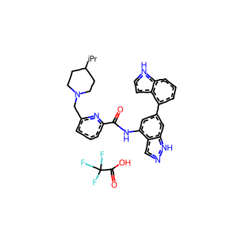 CC(C)C1CCN(Cc2cccc(C(=O)Nc3cc(-c4cccc5[nH]ccc45)cc4[nH]ncc34)n2)CC1.O=C(O)C(F)(F)F